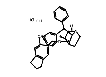 COc1cc2c(cc1CN[C@H]1C3CCN(CC3)[C@H]1C(c1ccccc1)c1ccccc1)CCC2.Cl.Cl